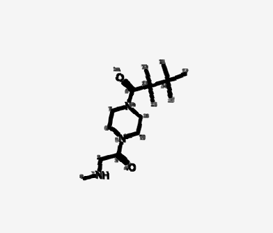 CNCC(=O)N1CCN(C(=O)C(C)(C)C(C)(C)C)CC1